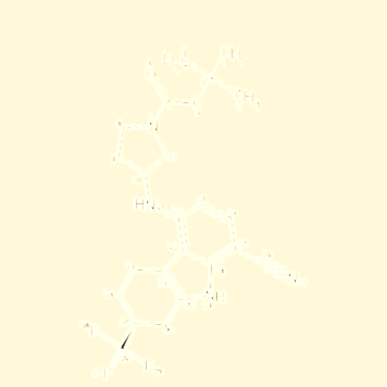 CC(C)(C)OC(=O)N1CCC(Nc2ccc(C#N)c3[nH]c4c(c23)CC[C@H](C(F)(F)F)C4)C1